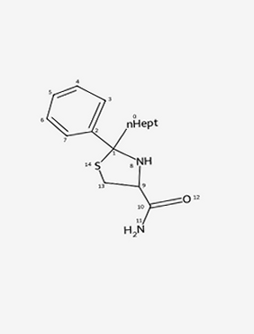 CCCCCCCC1(c2ccccc2)NC(C(N)=O)CS1